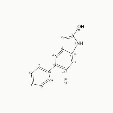 Oc1cc2nc(-c3ccccc3)c(F)cc2[nH]1